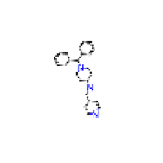 C(=NC1CCN(C(c2ccccc2)c2ccccc2)CC1)c1ccncc1